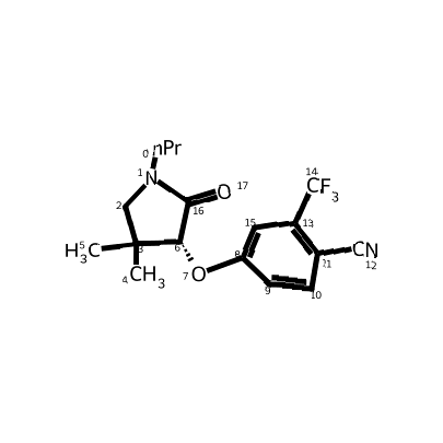 CCCN1CC(C)(C)[C@@H](Oc2ccc(C#N)c(C(F)(F)F)c2)C1=O